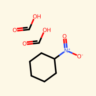 O=CO.O=CO.O=[N+]([O-])C1CCCCC1